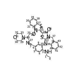 CCNc1ccc(C#N)cc1N=C1SC(=C2Sc3ccccc3N2OCC(C)N2CCOCC2)C(=O)N1Cc1ccccc1